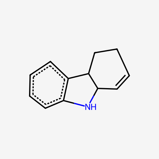 C1=CC2Nc3ccccc3C2CC1